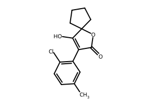 Cc1ccc(Cl)c(C2=C(O)C3(CCCC3)OC2=O)c1